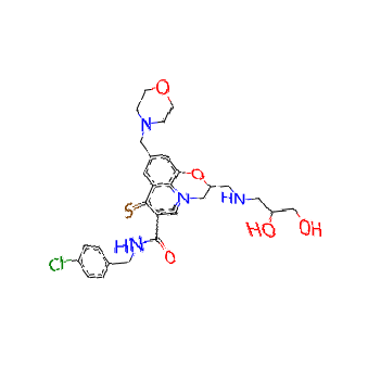 O=C(NCc1ccc(Cl)cc1)c1cn2c3c(cc(CN4CCOCC4)cc3c1=S)OC(CNCC(O)CO)C2